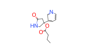 CCCC(=O)OC1(c2cccnc2)CNC(=O)C1